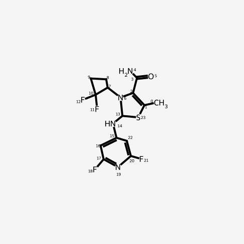 CC1=C(C(N)=O)N(C2CCC2(F)F)C(Nc2cc(F)nc(F)c2)S1